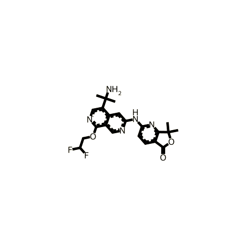 CC(C)(N)c1cnc(OCC(F)F)c2cnc(Nc3ccc4c(n3)C(C)(C)OC4=O)cc12